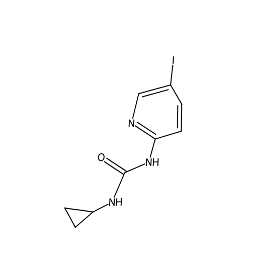 O=C(Nc1ccc(I)cn1)NC1CC1